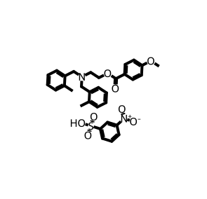 COc1ccc(C(=O)OCCN(Cc2ccccc2C)Cc2ccccc2C)cc1.O=[N+]([O-])c1cccc(S(=O)(=O)O)c1